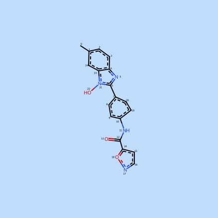 Cc1ccc2nc(-c3ccc(NC(=O)c4ccno4)cc3)n(O)c2c1